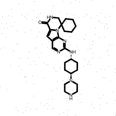 O=C1NCC2(CCCCC2)n2c1cc1cnc(N[C@H]3CC[C@H](N4CCNCC4)CC3)nc12